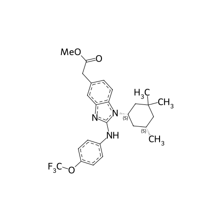 COC(=O)Cc1ccc2c(c1)nc(Nc1ccc(OC(F)(F)F)cc1)n2[C@H]1C[C@@H](C)CC(C)(C)C1